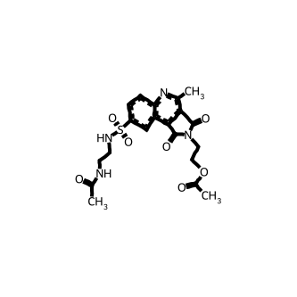 CC(=O)NCCNS(=O)(=O)c1ccc2nc(C)c3c(c2c1)C(=O)N(CCOC(C)=O)C3=O